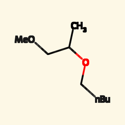 CCCCCOC(C)COC